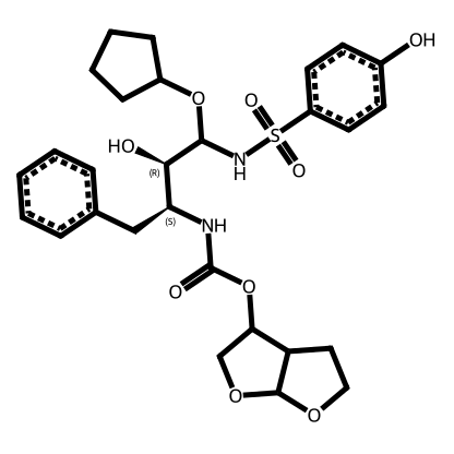 O=C(N[C@@H](Cc1ccccc1)[C@@H](O)C(NS(=O)(=O)c1ccc(O)cc1)OC1CCCC1)OC1COC2OCCC12